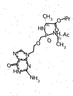 CC(=O)[C@H](C)NP(=O)(COCCn1cnc2c(=O)[nH]c(N)nc21)N[C@H](C)C(=O)OC(C)C